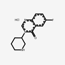 Cl.O=c1c2cc(F)ccc2ncn1C1CCCNC1